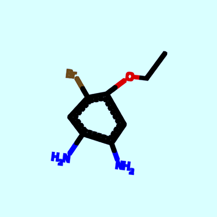 CCOc1cc(N)c(N)cc1Br